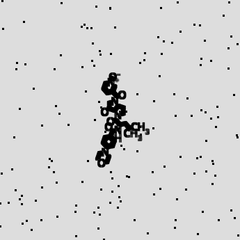 CC(C)CC(NC(=O)c1ccc(N2CCOCC2)cc1)C(=O)N1CCC2C1C(=O)CN2C(=O)c1ccc[n+]([O-])c1